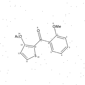 COc1ccccc1C(=O)c1sccc1OC(C)=O